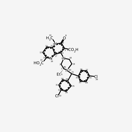 CC[C@@H]1CN(c2c(C(=O)O)c(=O)n(C)c3ccc(C(=O)O)nc23)CCN1C(c1ccc(Cl)cc1)c1ccc(Cl)cc1